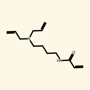 C=CCN(CC=C)CCCCNC(=O)C=C